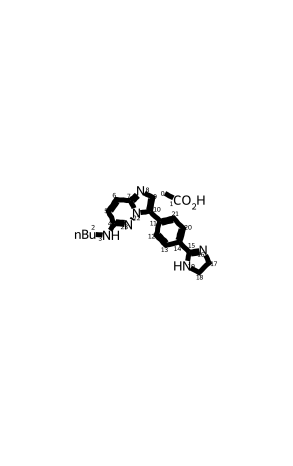 CC(=O)O.CCCCNc1ccc2ncc(-c3ccc(C4=NCCN4)cc3)n2n1